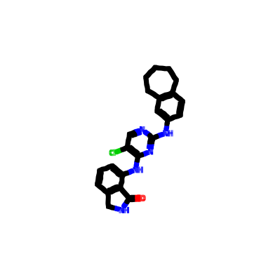 O=C1NCc2cccc(Nc3nc(Nc4ccc5c(c4)CCCCC5)ncc3Cl)c21